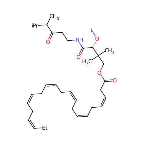 CC/C=C\C/C=C\C/C=C\C/C=C\C/C=C\C/C=C\CC(=O)OCC(C)(C)[C@@H](OI)C(=O)NCCC(=O)C(C)C(C)C